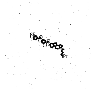 CC(C)CCCC(C)[C@H]1CCC2C3CC=C4C[C@@H](OC(=O)c5ccc(OC(=O)c6ccc(OC(F)(F)F)cc6)cc5Cl)CC[C@]4(C)C3CC[C@@]21C